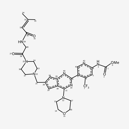 COC(=O)Nc1cc(C(F)(F)F)c(-c2nc(N3CCOCC3)c3cc(CN4CCN(C(=O)CNC(=O)C=C(C)C)CC4)cn3n2)cn1